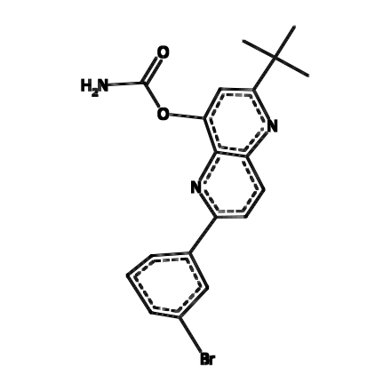 CC(C)(C)c1cc(OC(N)=O)c2nc(-c3cccc(Br)c3)ccc2n1